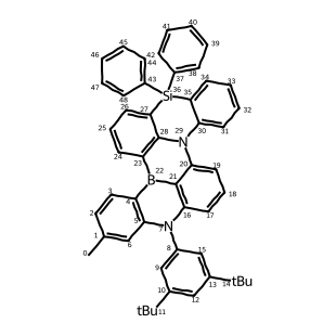 Cc1ccc2c(c1)N(c1cc(C(C)(C)C)cc(C(C)(C)C)c1)c1cccc3c1B2c1cccc2c1N3c1ccccc1[Si]2(c1ccccc1)c1ccccc1